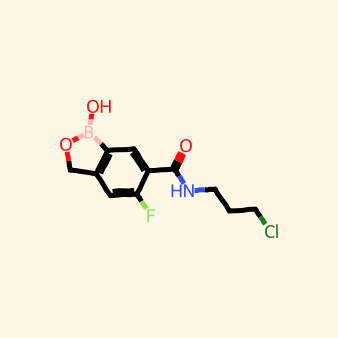 O=C(NCCCCl)c1cc2c(cc1F)COB2O